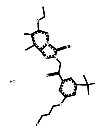 CCOc1nn2c(=N)n(CC(=O)c3cc(OCCCF)cc(C(C)(C)C)c3)nc2c(C)c1C.Cl